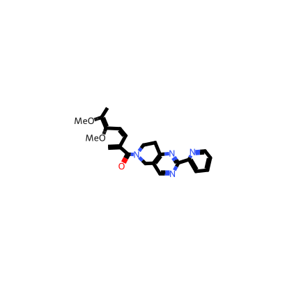 C=C(/C=C\C(OC)=C(/C)OC)C(=O)N1CCc2nc(-c3ccccn3)ncc2C1